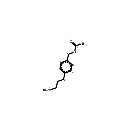 CCCCCCCCCCCCc1ccc(COC(N)=O)cc1